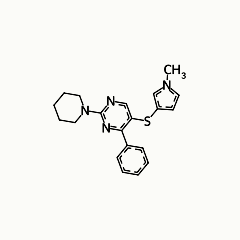 Cn1ccc(Sc2cnc(N3CCCCC3)nc2-c2ccccc2)c1